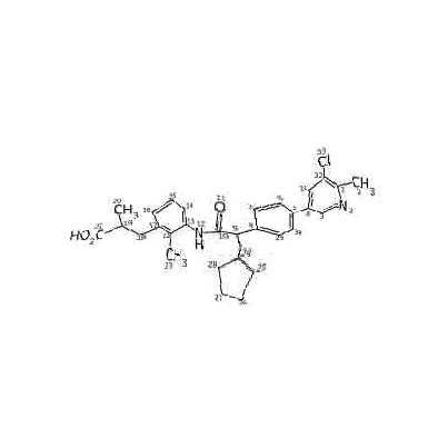 Cc1ncc(-c2ccc(C(C(=O)Nc3cccc(CC(C)C(=O)O)c3C)C3CCCC3)cc2)cc1Cl